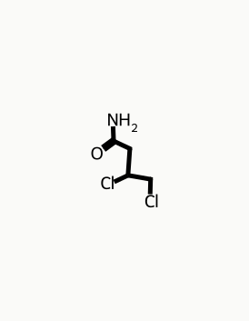 NC(=O)CC(Cl)CCl